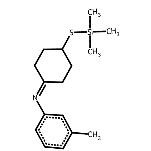 Cc1cccc(N=C2CCC(S[Si](C)(C)C)CC2)c1